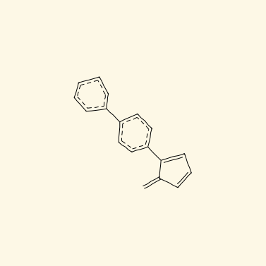 C=C1C=CC=C1c1ccc(-c2ccccc2)cc1